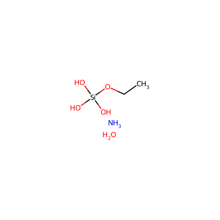 CCO[Si](O)(O)O.N.O